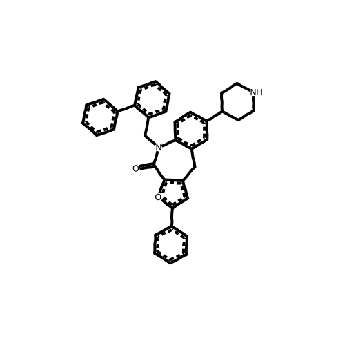 O=C1c2oc(-c3ccccc3)cc2Cc2cc(C3CCNCC3)ccc2N1Cc1ccccc1-c1ccccc1